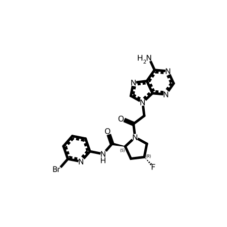 Nc1ncnc2c1ncn2CC(=O)N1C[C@H](F)C[C@H]1C(=O)Nc1cccc(Br)n1